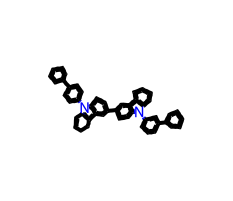 C1=Cc2c(c3cc(-c4ccc5c(c4)c4ccccc4n5-c4cccc(-c5ccccc5)c4)ccc3n2-c2ccc(-c3ccccc3)cc2)CC1